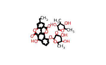 C=Cc1cc2oc(=O)c3c(O)c4cccc(O[C@@H]5OC(C)[C@H](O)[C@H](O)C5O[C@H]5OC(C)[C@H](O)C(C)[C@H]5O)c4c4oc(=O)c(c1)c2c34